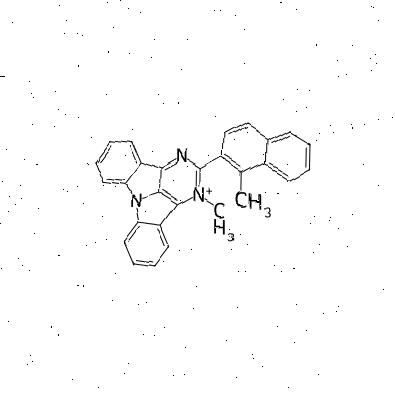 Cc1c(-c2nc3c4ccccc4n4c5ccccc5c(c34)[n+]2C)ccc2ccccc12